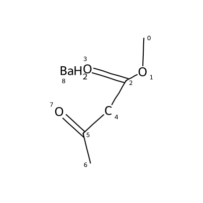 COC(=O)CC(C)=O.[BaH2]